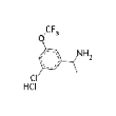 CC(N)c1cc(Cl)cc(OC(F)(F)F)c1.Cl